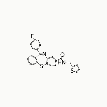 O=C(NCc1cccs1)c1ccc2c(c1)N=C(c1ccc(F)cc1)c1ccccc1S2